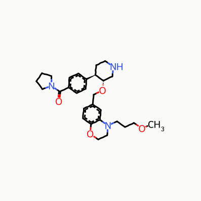 COCCCN1CCOc2ccc(CO[C@H]3CNCC[C@@H]3c3ccc(C(=O)N4CCCC4)cc3)cc21